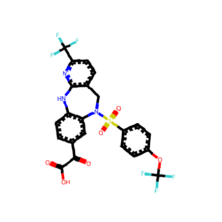 O=C(O)C(=O)c1ccc2c(c1)N(S(=O)(=O)c1ccc(OC(F)(F)F)cc1)Cc1ccc(C(F)(F)F)nc1N2